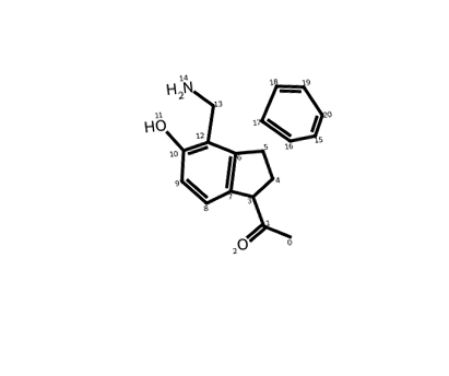 CC(=O)C1CCc2c1ccc(O)c2CN.c1ccccc1